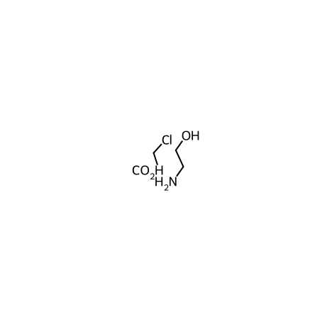 NCCO.O=C(O)CCl